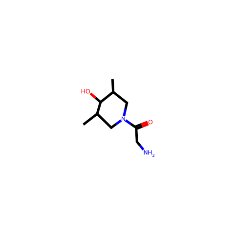 CC1CN(C(=O)CN)CC(C)C1O